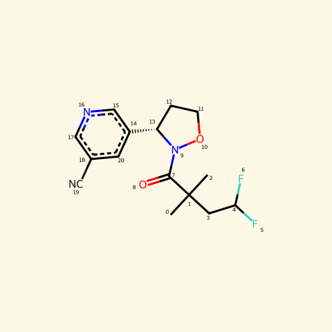 CC(C)(CC(F)F)C(=O)N1OCC[C@H]1c1cncc(C#N)c1